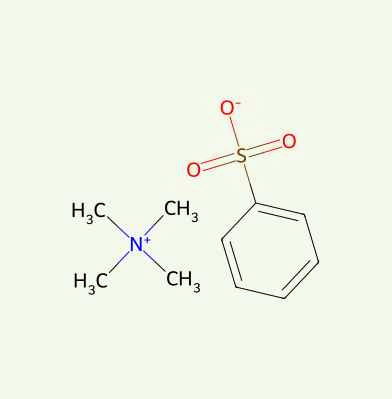 C[N+](C)(C)C.O=S(=O)([O-])c1ccccc1